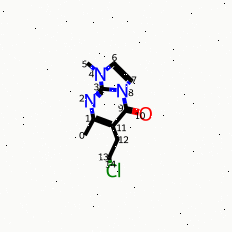 Cc1nc2n(C)ccn2c(=O)c1CCCl